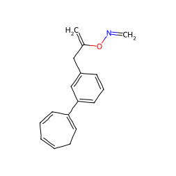 C=NOC(=C)Cc1cccc(C2=CCC=CC=C2)c1